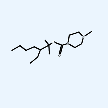 CCCCC(CC)C(C)(C)OC(=O)N1CCN(C)CC1